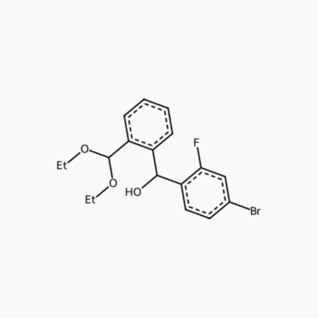 CCOC(OCC)c1ccccc1C(O)c1ccc(Br)cc1F